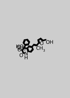 COC1C(=O)Nc2ccc(/C=C(\C)c3ccc(CO)o3)cc2C1(O)c1ccccc1